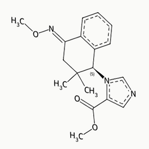 CON=C1CC(C)(C)[C@H](n2cncc2C(=O)OC)c2ccccc21